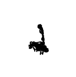 CC[C@@H](C)C(=O)N[C@H](C(=O)N1CCC[C@H]1C(=O)N[C@H]1c2ccccc2C[C@H]1OCCCOCCCCCOCc1ccccc1)C(C)(C)C